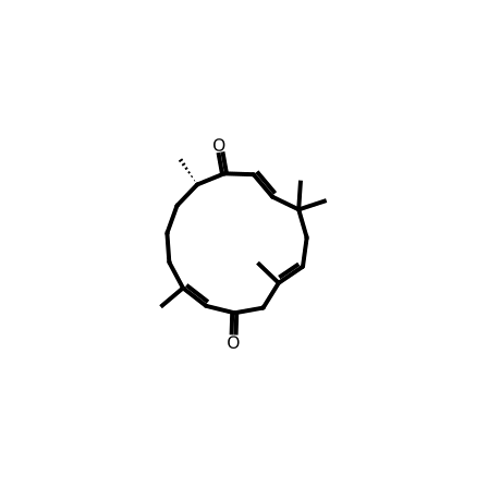 C/C1=C/C(=O)C/C(C)=C/CC(C)(C)/C=C/C(=O)[C@@H](C)CCC1